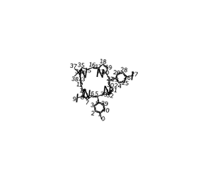 Cc1ccc(C2=C3C=C(I)C(=N3)C=C3N=C(C=C4C=CC(=N4)C(c4ccc(I)cc4)=C4C=CC2=N4)CC3(C)C)cc1